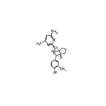 Cc1cc(C)nc(CCC(c2ccc(O)c(C)c2)P2(=O)CCCC2(C)C)n1